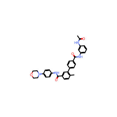 CC(=O)Nc1cccc(NC(=O)c2ccc(-c3cc(C(=O)Nc4ccc(N5CCOCC5)cc4)ccc3C)cc2)c1